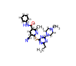 CCc1nc(Sc2nc(C)c(C(=O)Nc3ccccc3)cc2C#N)nc(N2CCN(C)CC2)n1